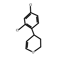 Clc1ccc(C2C=COCC2)c(Cl)c1